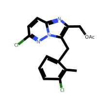 CC(=O)OCc1nc2ccc(Cl)nn2c1Cc1cccc(Cl)c1C